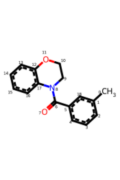 Cc1cccc(C(=O)N2CCOc3ccccc32)c1